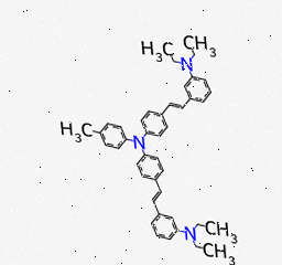 CCN(CC)c1cccc(C=Cc2ccc(N(c3ccc(C)cc3)c3ccc(C=Cc4cccc(N(CC)CC)c4)cc3)cc2)c1